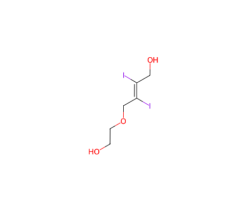 OCCOC/C(I)=C(\I)CO